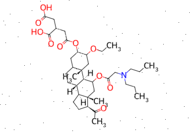 CCCN(CCC)CC(=O)OC1C[C@]2(C)[C@@H](C(C)=O)CC[C@H]2[C@@H]2CCC3CC(OC(=O)CC(CC(=O)O)C(=O)O)C(OCC)C[C@]3(C)[C@@H]12